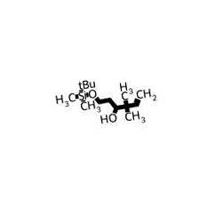 C=CC(C)(C)C(O)CCO[Si](C)(C)C(C)(C)C